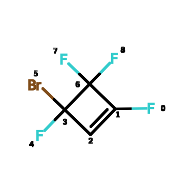 FC1=CC(F)(Br)C1(F)F